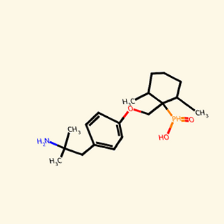 CC1CCCC(C)C1(COc1ccc(CC(C)(C)N)cc1)[PH](=O)O